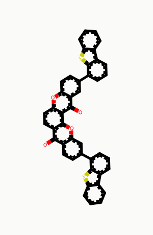 O=c1c2ccc(-c3cccc4c3sc3ccccc34)cc2oc2c1ccc1oc3ccc(-c4cccc5c4sc4ccccc45)cc3c(=O)c12